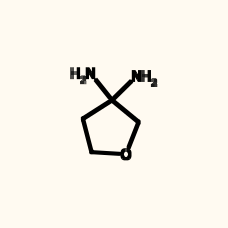 NC1(N)CCOC1